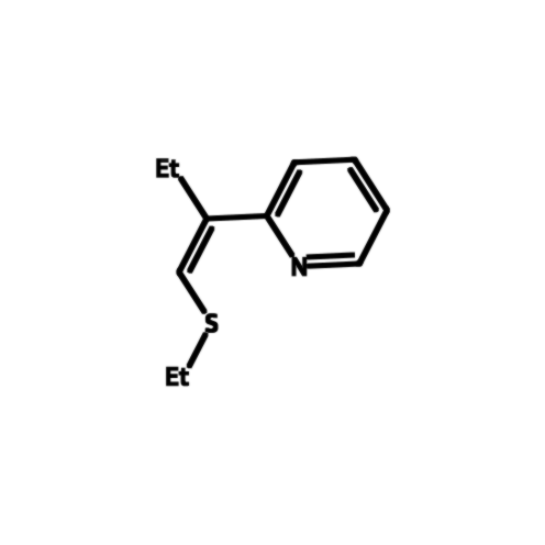 CCS/C=C(/CC)c1ccccn1